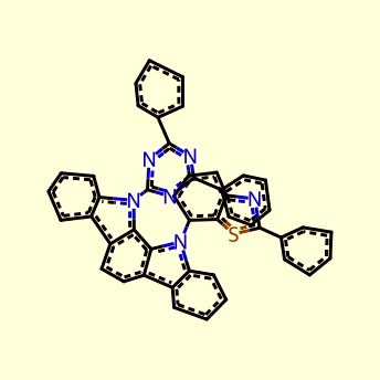 c1ccc(-c2nc(-c3ccccc3)nc(-n3c4ccccc4c4ccc5c6ccccc6n(-c6cccc7nc(-c8ccccc8)sc67)c5c43)n2)cc1